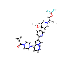 COC1(c2ccc(-c3cc4c(N5CCN(C(=O)C6CC6)CC5)ccnn4c3)nc2)CCN([C@@H](C)COC(F)F)CC1